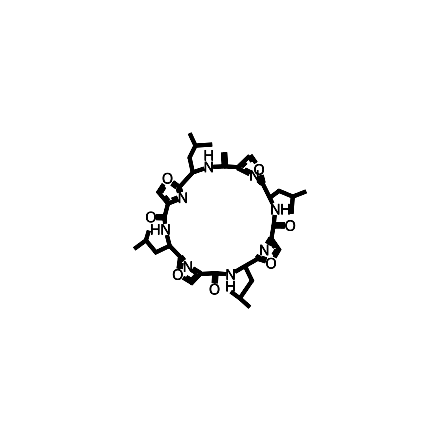 C=C1NC(CC(C)C)c2nc(co2)C(=O)NC(CC(C)C)c2nc(co2)C(=O)NC(CC(C)C)c2nc(co2)C(=O)NC(CC(C)C)c2nc1co2